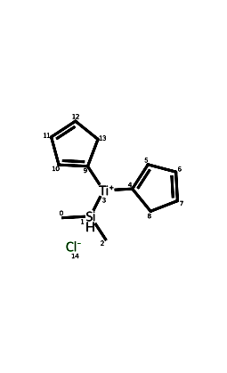 C[SiH](C)[Ti+]([C]1=CC=CC1)[C]1=CC=CC1.[Cl-]